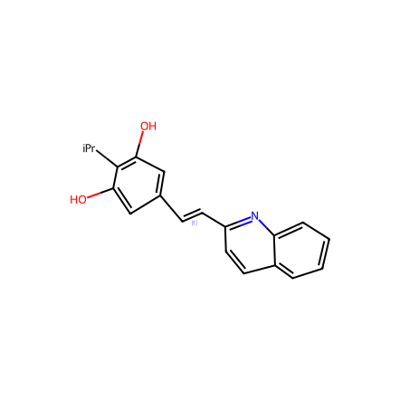 CC(C)c1c(O)cc(/C=C/c2ccc3ccccc3n2)cc1O